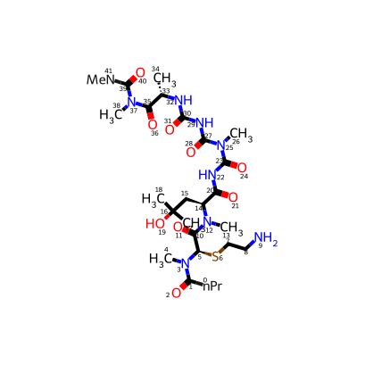 CCCC(=O)N(C)[C@H](SCCN)C(=O)N(C)[C@@H](CC(C)(C)O)C(=O)NC(=O)N(C)C(=O)NC(=O)N[C@@H](C)C(=O)N(C)C(=O)NC